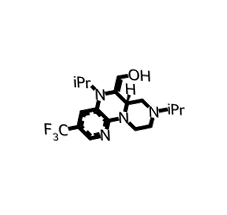 CC(C)N1CCN2c3ncc(C(F)(F)F)cc3N(C(C)C)/C(=C/O)[C@@H]2C1